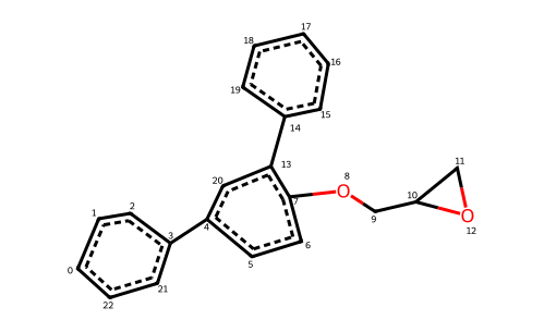 c1ccc(-c2ccc(OCC3CO3)c(-c3ccccc3)c2)cc1